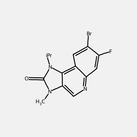 CC(C)n1c(=O)n(C)c2cnc3cc(F)c(Br)cc3c21